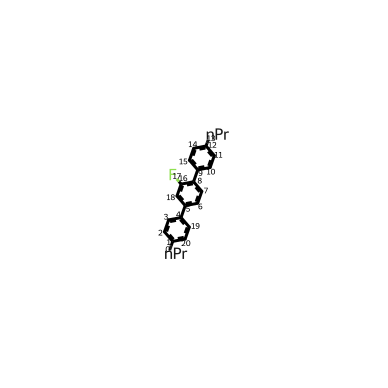 CCCc1ccc(-c2ccc(-c3ccc(CCC)cc3)c(F)c2)cc1